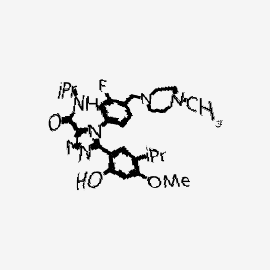 COc1cc(O)c(-c2nnc(C(=O)NC(C)C)n2-c2ccc(CN3CCN(C)CC3)c(F)c2)cc1C(C)C